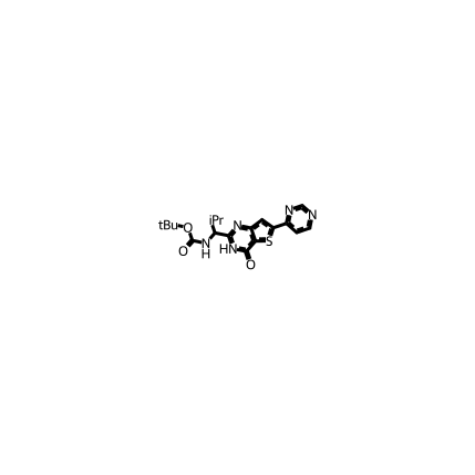 CC(C)C(NC(=O)OC(C)(C)C)c1nc2cc(-c3ccncn3)sc2c(=O)[nH]1